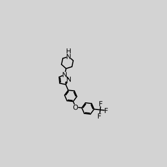 FC(F)(F)c1ccc(Oc2ccc(-c3ccn(C4CCNCC4)n3)cc2)cc1